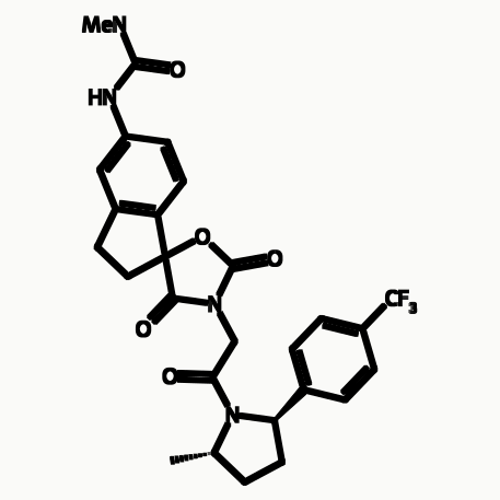 CNC(=O)Nc1ccc2c(c1)CCC21OC(=O)N(CC(=O)N2[C@@H](c3ccc(C(F)(F)F)cc3)CC[C@@H]2C)C1=O